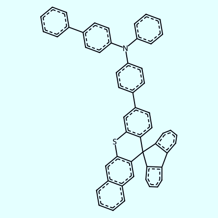 c1ccc(-c2ccc(N(c3ccccc3)c3ccc(-c4ccc5c(c4)Sc4cc6ccccc6cc4C54c5ccccc5-c5ccccc54)cc3)cc2)cc1